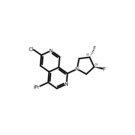 CC(C)c1cnc(N2C[C@H](F)[C@@H](F)C2)c2cnc(Cl)cc12